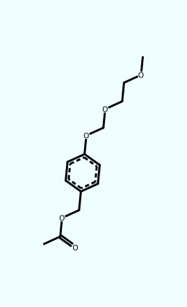 COCCOCOc1ccc(COC(C)=O)cc1